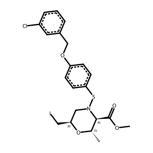 COC(=O)[C@H]1[C@H](C)O[C@@H](CI)CN1Sc1ccc(OCc2cccc(Cl)c2)cc1